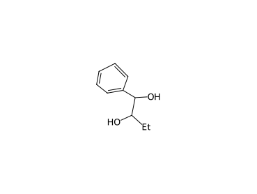 CCC(O)C(O)c1ccccc1